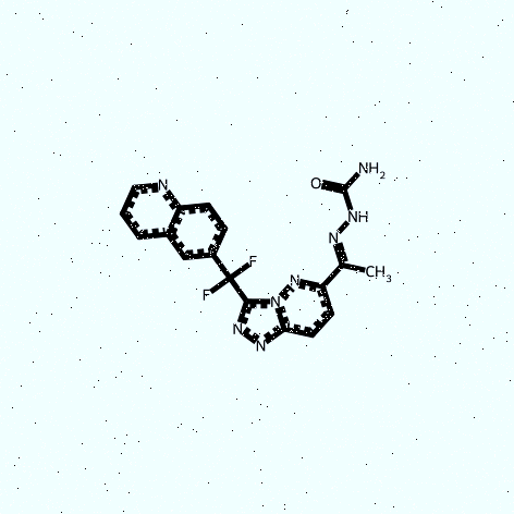 CC(=NNC(N)=O)c1ccc2nnc(C(F)(F)c3ccc4ncccc4c3)n2n1